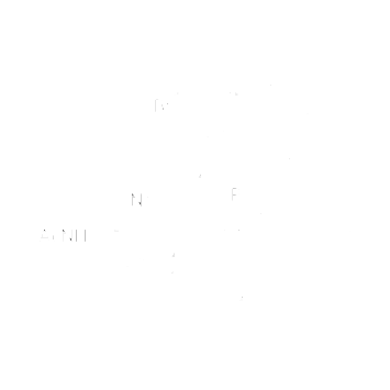 CC(=O)Nc1nc(C[P+](c2ccccc2)(c2ccccc2)c2ccccc2)cs1.[Br-]